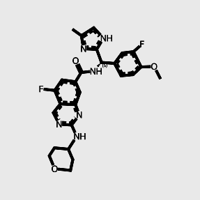 COc1ccc([C@H](NC(=O)c2cc(F)c3cnc(NC4CCOCC4)nc3c2)c2nc(C)c[nH]2)cc1F